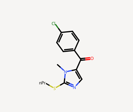 CCCSc1ncc(C(=O)c2ccc(Cl)cc2)n1C